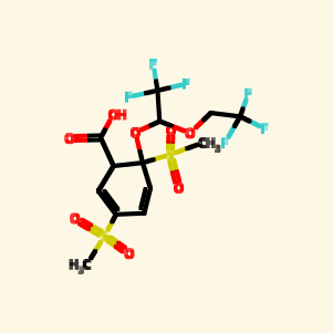 CS(=O)(=O)C1=CC(C(=O)O)C(OC(OCC(F)(F)F)C(F)(F)F)(S(C)(=O)=O)C=C1